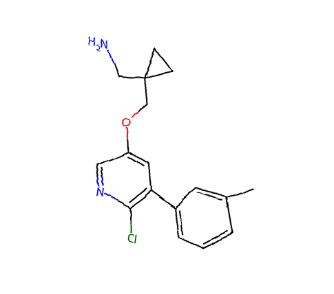 Cc1cccc(-c2cc(OCC3(CN)CC3)cnc2Cl)c1